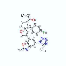 COC(=O)C1CC[C@@]2(C=C(c3cc(-n4nnnc4C(F)(F)F)cc4nc(C)oc34)CO2)[C@@H]1c1ccc(F)cc1